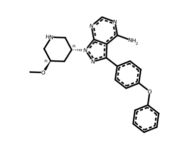 CO[C@H]1CNC[C@H](n2nc(-c3ccc(Oc4ccccc4)cc3)c3c(N)ncnc32)C1